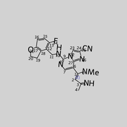 CN/C(=C\C(C)=N)c1cnc(NCc2c(F)ccc3c2CCO3)n2cc(C#N)nc12